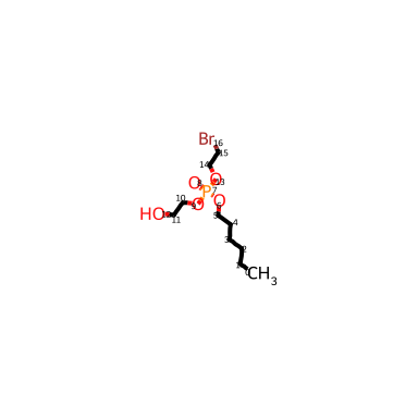 CCCCCCOP(=O)(OCCO)OCCBr